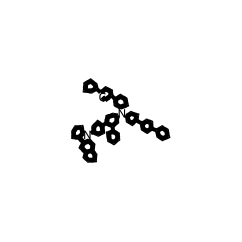 c1ccc(-c2ccc(-c3ccc(N(c4cccc(-c5ccc(-c6ccccc6)cc5)c4)c4ccc(-c5ccc(-n6c7ccccc7c7cc8ccccc8cc76)cc5)c(-c5ccccc5)c4)cc3)cc2)cc1